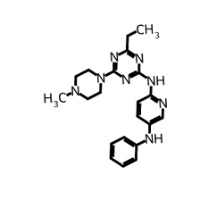 CCc1nc(Nc2ccc(Nc3ccccc3)cn2)nc(N2CCN(C)CC2)n1